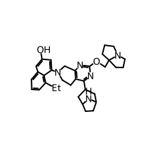 CCc1cccc2cc(O)cc(N3CCc4c(nc(OCC56CCCN5CCC6)nc4C4CC5CCC(C4)N5)C3)c12